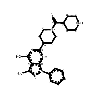 Cc1nn(-c2ccccc2)c2nc(C3CCN(C(=O)C4CCNCC4)CC3)nc(O)c12